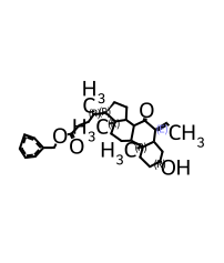 C/C=C1/C(=O)C2C(CC[C@@]3(C)C2CC[C@@H]3[C@H](C)CCC(=O)OCc2ccccc2)[C@@]2(C)CC[C@@H](O)CC12